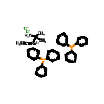 C=[C]=[Ru+2][C](C)(C)C.[Cl-].[Cl-].c1ccc(P(c2ccccc2)c2ccccc2)cc1.c1ccc(P(c2ccccc2)c2ccccc2)cc1